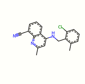 Cc1cc(NCc2c(C)cccc2Cl)c2cccc(C#N)c2n1